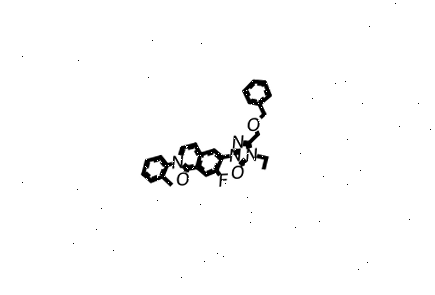 CCn1c(COCc2ccccc2)nn(-c2cc3ccn(-c4ccccc4C)c(=O)c3cc2F)c1=O